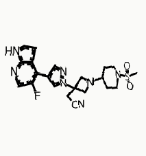 CS(=O)(=O)N1CCC(N2CC(CC#N)(n3cc(-c4c(F)cnc5[nH]ccc45)cn3)C2)CC1